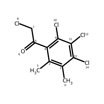 Cc1c(C)c(C(=O)CCl)c(Cl)c(Cl)c1Cl